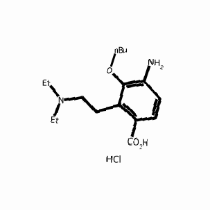 CCCCOc1c(N)ccc(C(=O)O)c1CCN(CC)CC.Cl